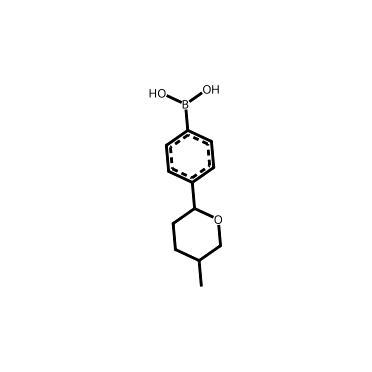 CC1CCC(c2ccc(B(O)O)cc2)OC1